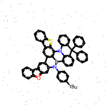 CC(C)(C)c1ccc(N2B3c4cccc5c4N(c4ccccc4C5(c4ccccc4)c4ccccc4)c4c3c(cc3c4sc4ccccc43)-c3cc4c(cc32)oc2ccccc24)cc1